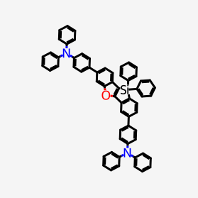 c1ccc(N(c2ccccc2)c2ccc(-c3ccc4c(c3)-c3oc5cc(-c6ccc(N(c7ccccc7)c7ccccc7)cc6)ccc5c3[Si]4(c3ccccc3)c3ccccc3)cc2)cc1